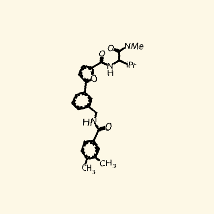 CNC(=O)C(NC(=O)c1ccc(-c2cccc(CNC(=O)c3ccc(C)c(C)c3)c2)o1)C(C)C